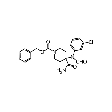 NC(=O)C1(N(C=O)c2cccc(Cl)c2)CCN(C(=O)OCc2ccccc2)CC1